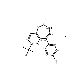 CC1Cc2ccc(C(C)(C)C)cc2C(c2ccc(Cl)cc2)=NN1